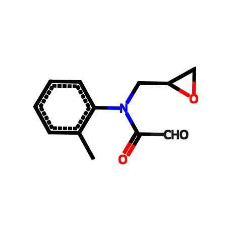 Cc1ccccc1N(CC1CO1)C(=O)C=O